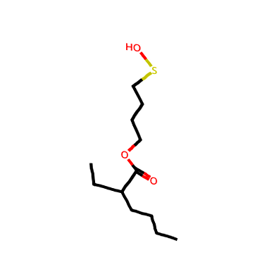 CCCCC(CC)C(=O)OCCCCSO